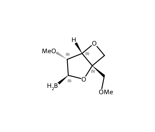 B[C@@H]1O[C@@]2(COC)CO[C@H]2[C@H]1OC